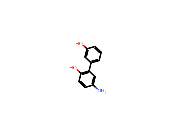 Nc1ccc(O)c(-c2cccc(O)c2)c1